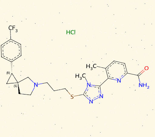 Cc1ccc(C(N)=O)nc1-c1nnc(SCCCN2CC[C@]3(C[C@@H]3c3ccc(C(F)(F)F)cc3)C2)n1C.Cl